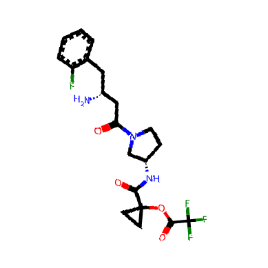 N[C@@H](CC(=O)N1CC[C@H](NC(=O)C2(OC(=O)C(F)(F)F)CC2)C1)Cc1ccccc1F